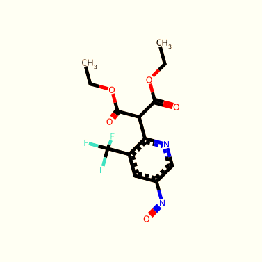 CCOC(=O)C(C(=O)OCC)c1ncc(N=O)cc1C(F)(F)F